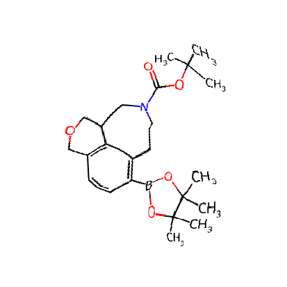 CC(C)(C)OC(=O)N1CCc2c(B3OC(C)(C)C(C)(C)O3)ccc3c2C(COC3)C1